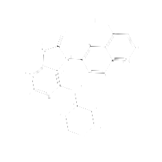 Cc1ccnc2ccc(-n3c(=O)[nH]c4nccc(OC5CCOCC5)c43)cc12